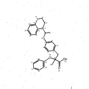 CC(Oc1ccc(CC(C)(Oc2ccccc2)C(=O)O)cc1)N1CCSc2ccccc21